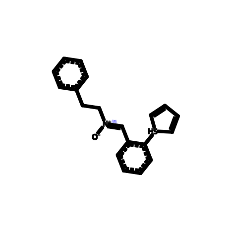 [O-]/[N+](=C\c1ccccc1[SH]1C=CC=C1)CCc1ccccc1